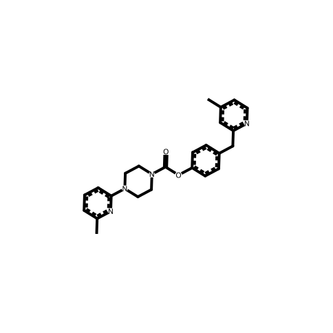 Cc1ccnc(Cc2ccc(OC(=O)N3CCN(c4cccc(C)n4)CC3)cc2)c1